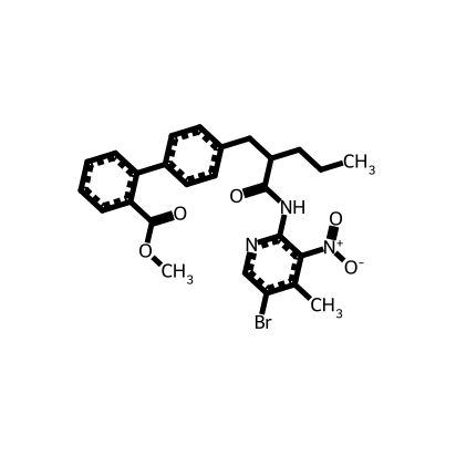 CCCC(Cc1ccc(-c2ccccc2C(=O)OC)cc1)C(=O)Nc1ncc(Br)c(C)c1[N+](=O)[O-]